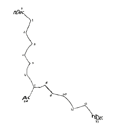 CCCCCCCCCCCCCCCCC(CCCCCCCCCCCCCCC)C(C)=O